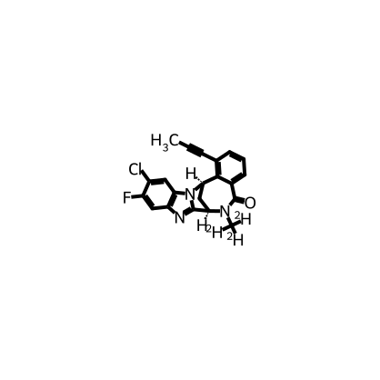 [2H]C([2H])([2H])N1C(=O)c2cccc(C#CC)c2[C@H]2C[C@@H]1c1nc3cc(F)c(Cl)cc3n12